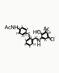 CC(=O)Nc1ccc(Sc2ccccc2CNc2cc(Cl)cc(C(C)=O)c2O)cc1